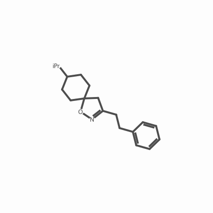 CC(C)C1CCC2(CC1)CC(CCc1ccccc1)=NO2